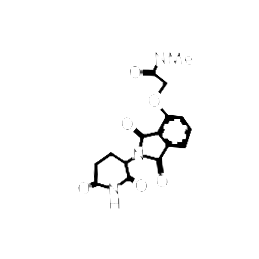 CNC(=O)COc1cccc2c1C(=O)N(C1CCC(=O)NC1=O)C2=O